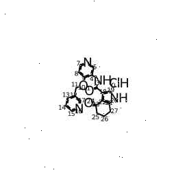 Cl.O=C(Nc1cnccc1OCc1cccnc1)c1c[nH]c2c1C(=O)CCC2